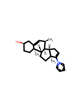 C[C@@H]1C=C2C[C@H](O)CC[C@]2(C)[C@H]2CC[C@]3(C)C(n4cccc4)=CC[C@H]3[C@H]12